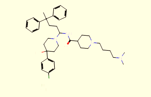 CN(C)CCCCN1CCC(C(=O)NC(CCC(C)(c2ccccc2)c2ccccc2)N2CCC(O)(c3ccc(Cl)cc3)CC2)CC1.Cl.Cl